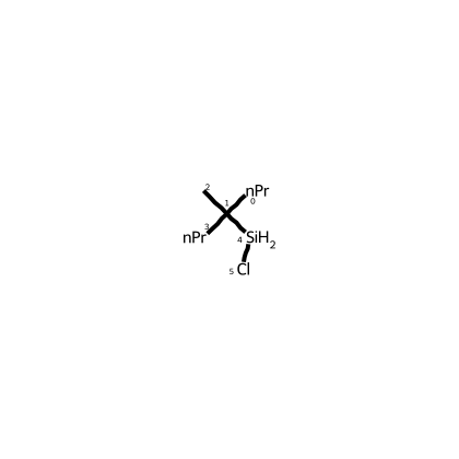 CCCC(C)(CCC)[SiH2]Cl